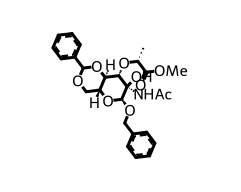 COC(=O)[C@@H](C)O[C@H]1[C@@H]2OC(c3ccccc3)OC[C@H]2O[C@H](OCc2ccccc2)[C@@]1(O)NC(C)=O